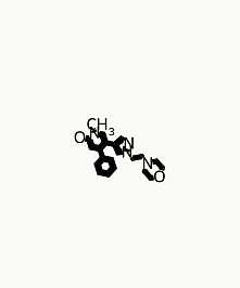 Cn1cc(-c2cnn(CCN3CCOCC3)c2)c(-c2ccccc2)cc1=O